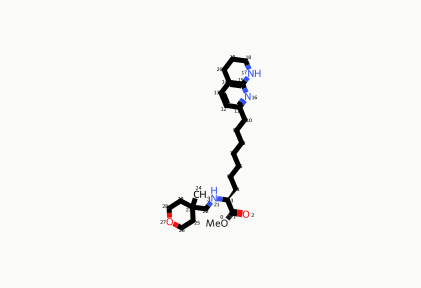 COC(=O)[C@H](CCCCCCCc1ccc2c(n1)NCCC2)NCC1(C)CCOCC1